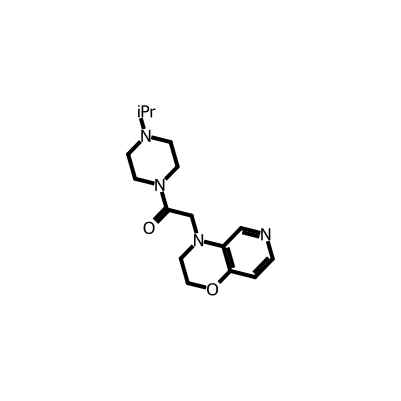 CC(C)N1CCN(C(=O)CN2CCOc3ccncc32)CC1